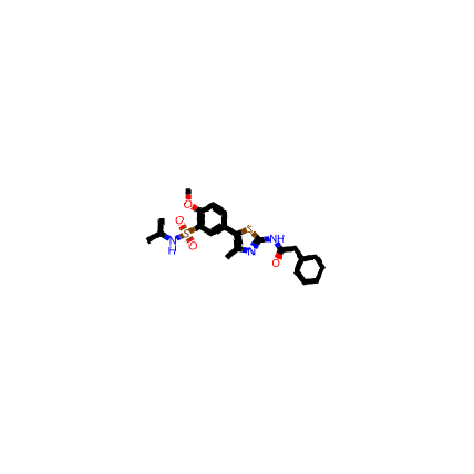 COc1ccc(-c2sc(NC(=O)CC3CCCCC3)nc2C)cc1S(=O)(=O)NC(C)C